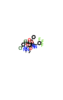 C=CCO[C@@H]1[C@@H](n2cc(-c3cc(F)c(F)c(F)c3)nn2)[C@H]2O[C@@H](c3ccccc3)OC[C@H]2O[C@H]1c1nc(C)nn1-c1cc(Cl)ccc1Cl